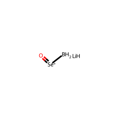 B[Se+]=O.[LiH]